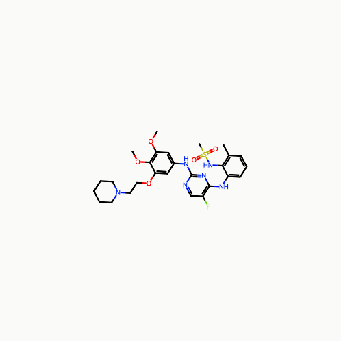 COc1cc(Nc2ncc(F)c(Nc3cccc(C)c3NS(C)(=O)=O)n2)cc(OCCN2CCCCC2)c1OC